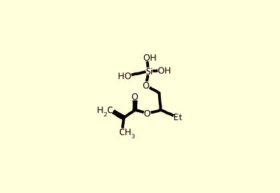 C=C(C)C(=O)OC(CC)CO[Si](O)(O)O